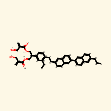 C=C(CO)C(=O)OCC(COC(=O)C(=C)CO)c1ccc(CCc2ccc3cc(-c4ccc5cc(CCC)ccc5c4)ccc3c2)c(CC)c1